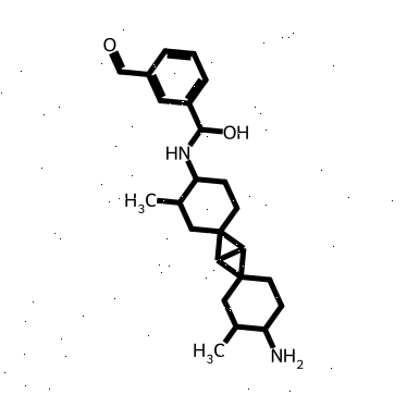 CC1CC2(CCC1N)C1C2C12CCC(NC(O)c1cccc(C=O)c1)C(C)C2